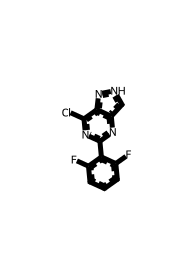 Fc1cccc(F)c1-c1nc(Cl)c2n[nH]cc2n1